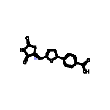 O=C1NC(=O)/C(=C/C2=CCC(c3ccc(C(=O)O)cc3)O2)S1